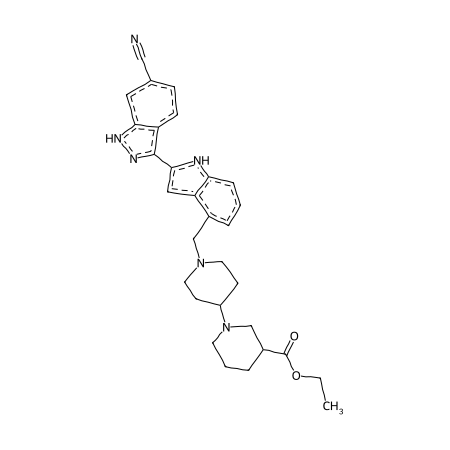 CCOC(=O)C1CCCN(C2CCN(Cc3cccc4[nH]c(-c5n[nH]c6cc(C#N)ccc56)cc34)CC2)C1